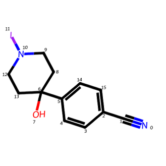 N#Cc1ccc(C2(O)CCN(I)CC2)cc1